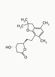 Cc1cc(C)c2c(c1CC[C@@H]1C[C@@H](O)CC(=O)O1)OC(C)(C)C2